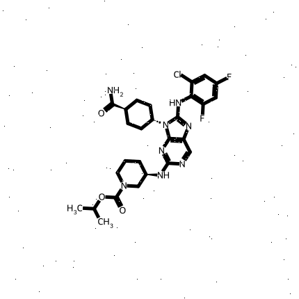 CC(C)OC(=O)N1CCC[C@@H](Nc2ncc3nc(Nc4c(F)cc(F)cc4Cl)n([C@H]4CC[C@H](C(N)=O)CC4)c3n2)C1